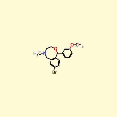 COc1cccc(C2OCCN(C)Cc3cc(Br)ccc32)c1